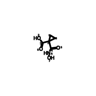 O=C(O)C1(C(=O)NO)CC1